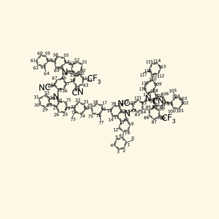 Cc1ccccc1-c1ccc2c(c1)c1cc(-c3ccc(-c4ccc(-c5ccc6c7ccccc7n(-c7cc(-c8ccc(C(F)(F)F)cc8C#N)c(-n8c9ccccc9c9ccc(-c%10ccccc%10C)cc98)cc7C#N)c6c5)c(C)c4)cc3C)ccc1n2-c1cc(-c2ccc(C(F)(F)F)cc2C#N)c(-n2c3ccc(-c4ccccc4C)cc3c3cc(-c4ccccc4C)ccc32)cc1C#N